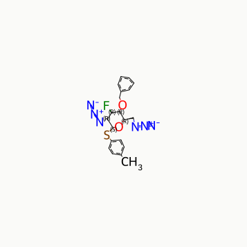 Cc1ccc(S[C@@H]2O[C@H](CN=[N+]=[N-])[C@@H](OCc3ccccc3)[C@H](F)[C@H]2N=[N+]=[N-])cc1